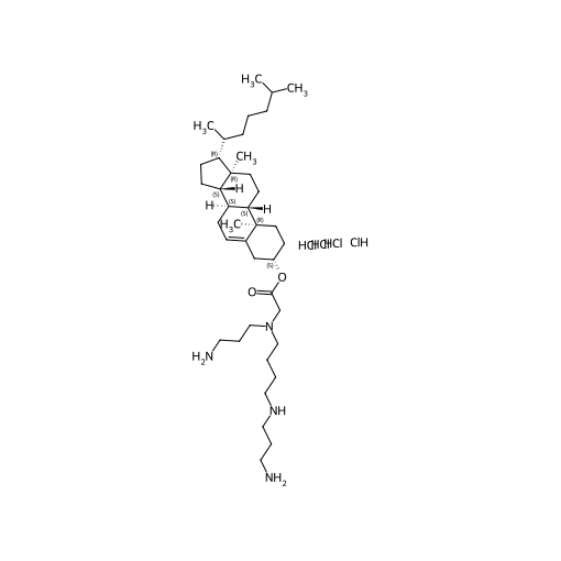 CC(C)CCCC(C)[C@H]1CC[C@H]2[C@@H]3CC=C4C[C@@H](OC(=O)CN(CCCN)CCCCNCCCN)CC[C@]4(C)[C@H]3CC[C@]12C.Cl.Cl.Cl.Cl